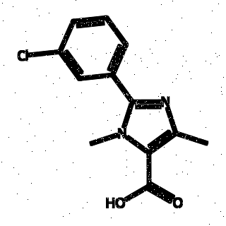 Cc1nc(-c2cccc(Cl)c2)n(C)c1C(=O)O